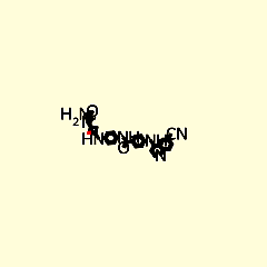 CS(N)(=O)=NC12CC(Nc3ccc(NC(=O)c4ccc(Nc5ccnc6ccc(C#N)cc56)cc4)cc3)(C1)C2